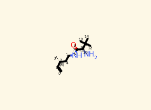 C=C[C@H](C)CCNC(=O)[C@@H](N)C(C)(C)C